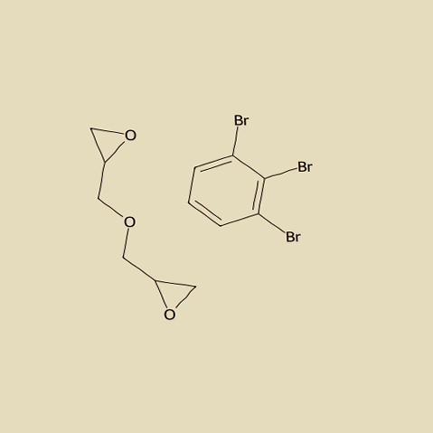 Brc1cccc(Br)c1Br.C(OCC1CO1)C1CO1